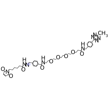 Cc1nnc(-c2ccc(CNC(=O)CCOCCOCCOCCOCCNC(=O)c3ccc(/C=N/NC(=O)CCCCCN4C(=O)C=CC4=O)cc3)cc2)nn1